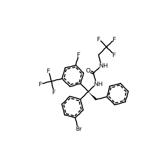 O=C(NCC(F)(F)F)N[C@](Cc1ccccc1)(c1cccc(Br)c1)c1cc(F)cc(C(F)(F)F)c1